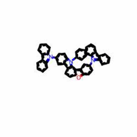 c1ccc(-n2c3ccc(-n4c5ccccc5c5ccccc54)cc3c3ccc4oc5ccc(-n6c7ccccc7c7ccccc76)cc5c4c32)cc1